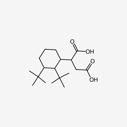 CC(C)(C)C1CCCC(C(CC(=O)O)C(=O)O)C1C(C)(C)C